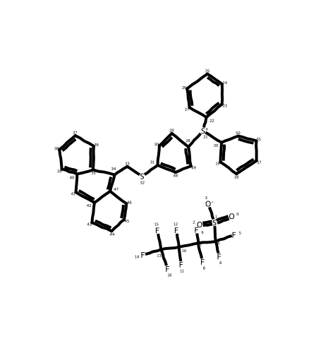 O=S(=O)([O-])C(F)(F)C(F)(F)C(F)(F)C(F)(F)F.c1ccc([S+](c2ccccc2)c2ccc(SCc3c4ccccc4cc4ccccc34)cc2)cc1